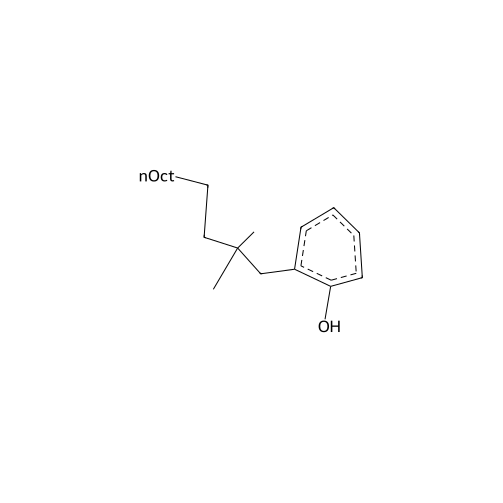 CCCCCCCCCCC(C)(C)Cc1ccccc1O